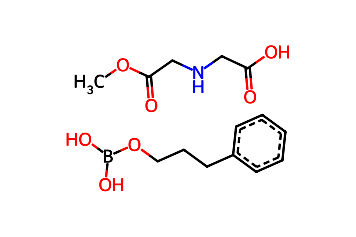 COC(=O)CNCC(=O)O.OB(O)OCCCc1ccccc1